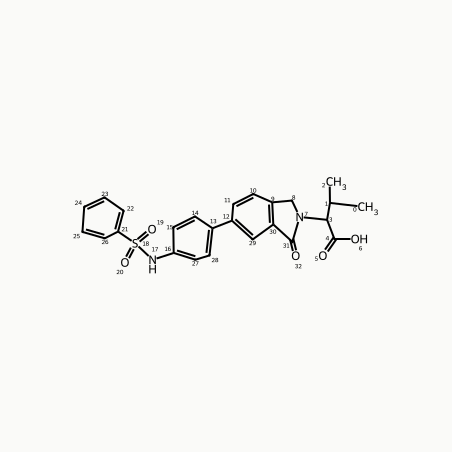 CC(C)C(C(=O)O)N1Cc2ccc(-c3ccc(NS(=O)(=O)c4ccccc4)cc3)cc2C1=O